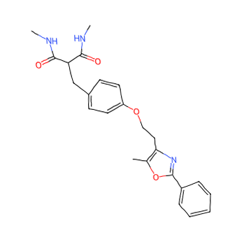 CNC(=O)C(Cc1ccc(OCCc2nc(-c3ccccc3)oc2C)cc1)C(=O)NC